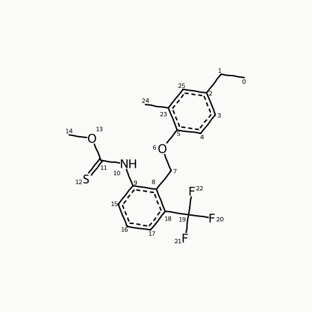 CCc1ccc(OCc2c(NC(=S)OC)cccc2C(F)(F)F)c(C)c1